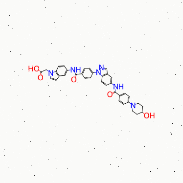 O=C(O)Cn1ccc2cc(NC(=O)c3ccc(-n4ncc5cc(NC(=O)c6ccc(N7CCC(O)CC7)cc6)ccc54)cc3)ccc21